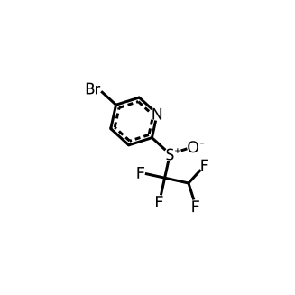 [O-][S+](c1ccc(Br)cn1)C(F)(F)C(F)F